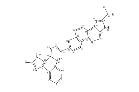 Cc1nc2c3ccccc3c3cc(-c4ccc5c(ccc6c5ccc5[nH]c(C(C)C)nc56)c4)ccc3c2[nH]1